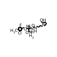 Cc1cc(F)c(COc2nsc(NC(=O)NCCCCN3CCCC3CO)c2C(N)=O)cc1Cl